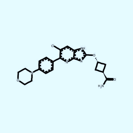 NC(=O)[C@H]1C[C@H](Oc2nc3nc(-c4ccc(N5CCOCC5)cc4)c(Cl)cc3[nH]2)C1